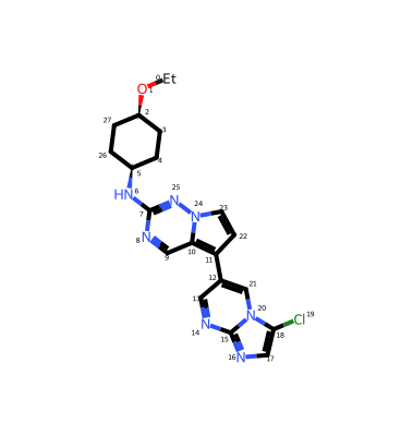 CCO[C@H]1CC[C@@H](Nc2ncc3c(-c4cnc5ncc(Cl)n5c4)ccn3n2)CC1